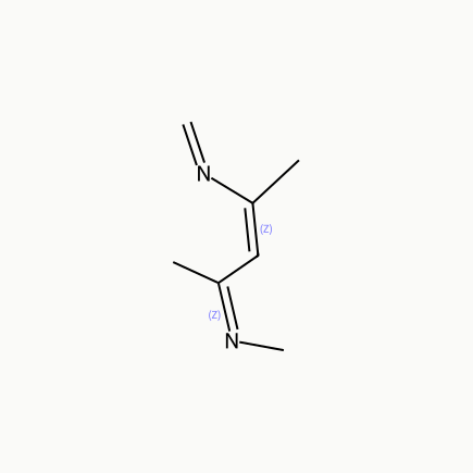 C=N/C(C)=C\C(C)=N/C